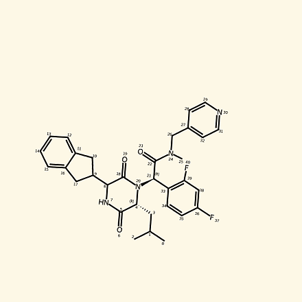 CC(C)C[C@@H]1C(=O)NC(C2Cc3ccccc3C2)C(=O)N1[C@@H](C(=O)N(C)Cc1ccncc1)c1ccc(F)cc1F